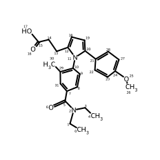 CCN(CC)C(=O)c1ccc(-n2c(CCC(=O)O)ccc2-c2ccc(OC)cc2)c(C)c1